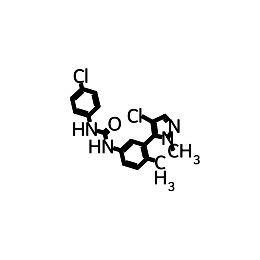 Cc1ccc(NC(=O)Nc2ccc(Cl)cc2)cc1-c1c(Cl)cnn1C